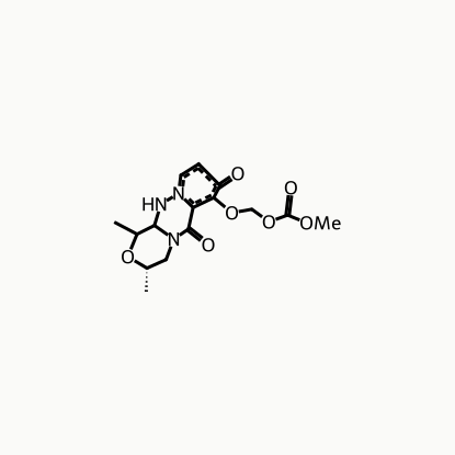 COC(=O)OCOc1c2n(ccc1=O)NC1C(C)O[C@@H](C)CN1C2=O